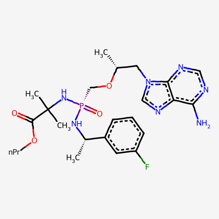 CCCOC(=O)C(C)(C)N[P@](=O)(CO[C@H](C)Cn1cnc2c(N)ncnc21)N[C@@H](C)c1cccc(F)c1